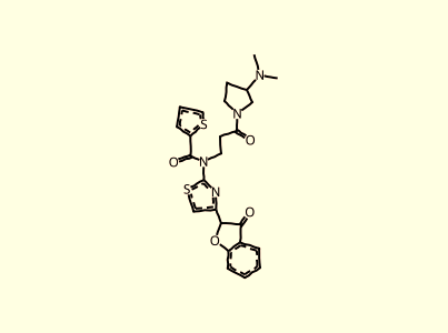 CN(C)C1CCN(C(=O)CCN(C(=O)c2cccs2)c2nc(C3Oc4ccccc4C3=O)cs2)C1